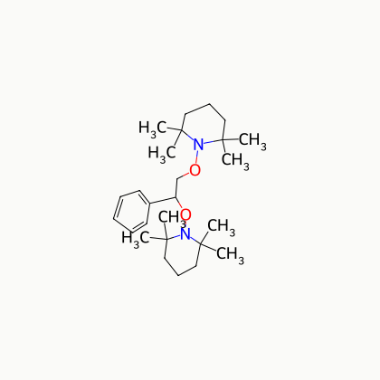 CC1(C)CCCC(C)(C)N1OCC(ON1C(C)(C)CCCC1(C)C)c1ccccc1